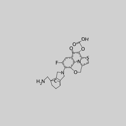 NCC12CCC(CC1)C1CN(c3c(F)cc4c(=O)c(OC(=O)O)c5scc6n5c4c3OC6)CC12